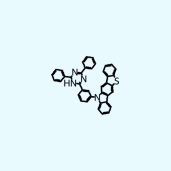 c1ccc(C2=NC(c3ccccc3)NC(c3cccc(-n4c5ccccc5c5cc6sc7ccccc7c6cc54)c3)=N2)cc1